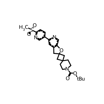 CC(C)(C)OC(=O)N1CCC2(CC1)CC1(Cc3cc(-c4ccc(S(C)(=O)=O)nc4)ncc3O1)C2